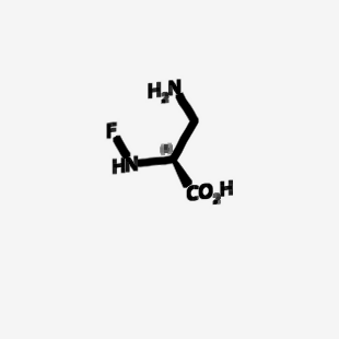 NC[C@H](NF)C(=O)O